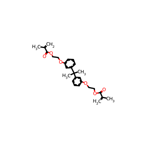 C=C(C)C(=O)OCCOc1cccc(C(C)(C)c2cccc(OCCOC(=O)C(=C)C)c2)c1